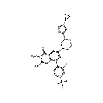 Cc1cc2c(-c3ccc(C(F)(F)F)cc3F)nc(C3CCOC(c4cnn(C5CC5)c4)C3)cc2c(=O)n1C